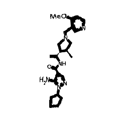 C=C(NC(=O)c1cnn(C2CCCC2)c1N)[C@@H]1CN(Cc2cnccc2OC)C[C@H]1C